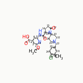 COc1cc(C(=O)O)cc(NC(=O)[C@H]2CCC(=O)N2C2CCN(Cc3ccc(Cl)c(C)c3)CC2)n1